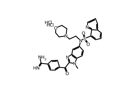 Cl.Cl.Cn1c(C(=O)c2ccc(C(=N)N)cc2)nc2cc(N(CCN3CCOCC3)S(=O)(=O)c3cccc4cccnc34)ccc21